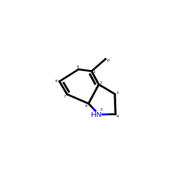 CC1=C2CCNC2C=CC1